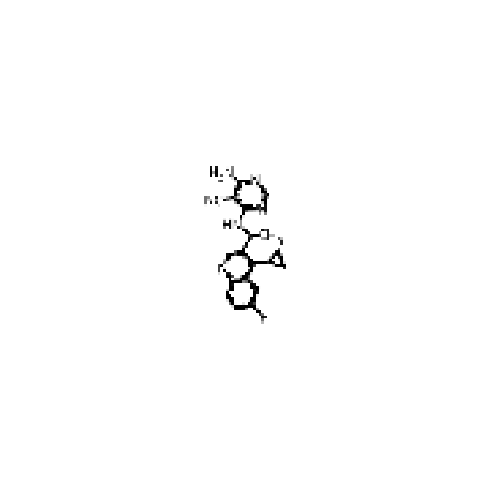 CC(Nc1ncnc(N)c1C#N)c1cnc2ccc(F)cc2c1C1CC1